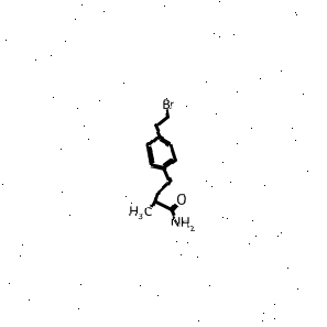 CC(CCc1ccc(CCBr)cc1)C(N)=O